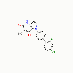 N#Cc1c(O)c2c(ccn2-c2ccc(-c3ccc(Cl)cc3Cl)cc2)[nH]c1=O